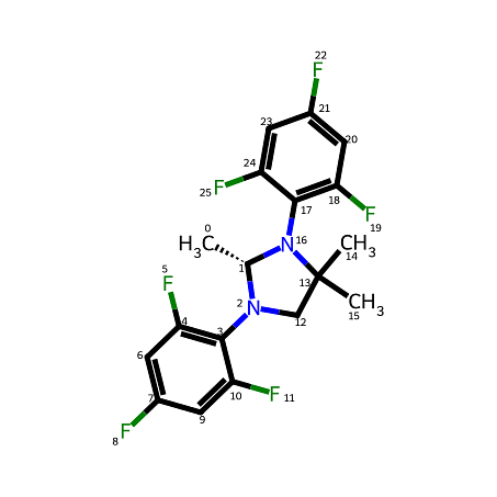 C[C@H]1N(c2c(F)cc(F)cc2F)CC(C)(C)N1c1c(F)cc(F)cc1F